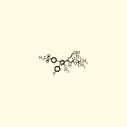 Cc1c([C@@H](CCCO)NC(=O)OC(C)(C)C)cc(-c2ccc(S(C)(=O)=O)cc2)n1-c1ccc(F)cc1